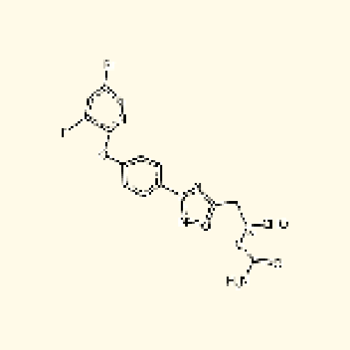 NC(=O)O[C@H](C=O)Cc1nc(-c2ccc(Oc3ncc(Br)cc3F)cc2)no1